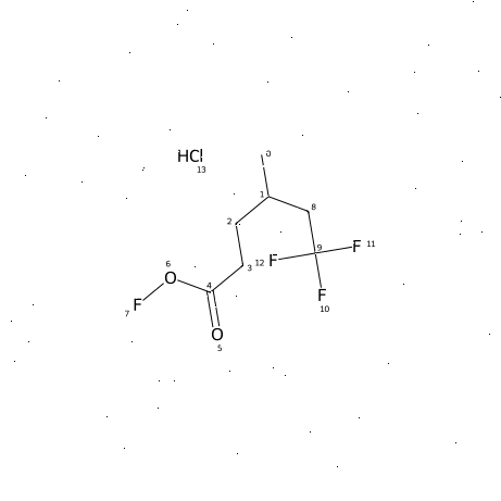 CC(CCC(=O)OF)CC(F)(F)F.Cl